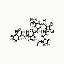 O=C(Nc1cc(Nc2c(NCCC3CCCN3CI)c(=O)c2=O)cc(C(F)(F)F)c1)c1sccc1NCc1ccnc2ccccc12